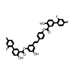 Cc1ccc(-c2ccc(O)c(C(=O)Oc3cc(O)cc(/C=C/c4ccc(OC(=O)c5cc(-c6ccc(F)cc6F)ccc5O)cc4)c3)c2)c(F)c1